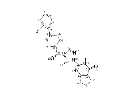 Cc1ccccc1N1CCN(C(=O)c2cnn(-c3nc4c(c(=O)[nH]3)CCC4)c2C)CC1